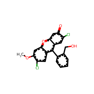 COc1cc2oc3cc(=O)c(Cl)cc-3c(-c3ccccc3CO)c2cc1Cl